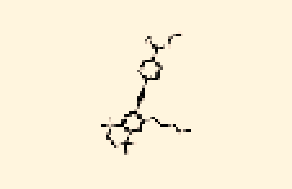 CCCCCc1cc2c(cc1C#Cc1ccc(C(=O)OCC)cn1)C(C)(C)CCC2(C)C